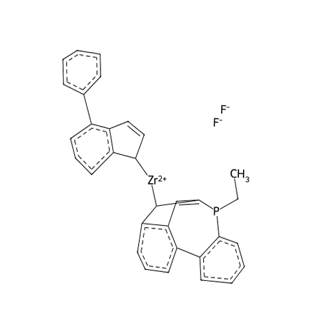 CCP1C2=Cc3c(cccc3[CH]2[Zr+2][CH]2C=Cc3c(-c4ccccc4)cccc32)-c2ccccc21.[F-].[F-]